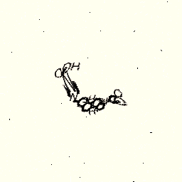 C[C@]12CCC(CN3CCN(C(=O)O)CC3)CC1CC[C@@H]1[C@@H]2CC[C@]2(C)[C@@H](C3=CC(=O)OC3)CC[C@]12O